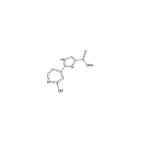 COC(=O)c1c[nH]c(-c2ccnc(O)c2)n1